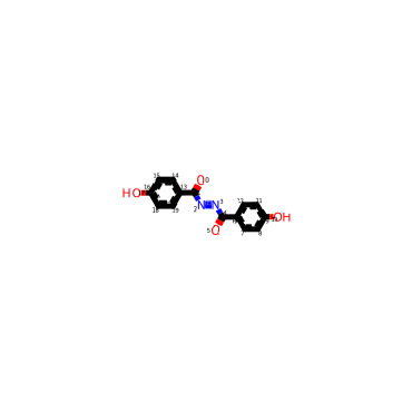 O=C(/N=N/C(=O)c1ccc(O)cc1)c1ccc(O)cc1